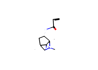 C=CC(=O)N[C@H]1C[C@@H]2CN(C)[C@H]1[C@@H]2N